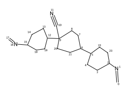 C=NC1CCC(C2CCC(C#N)(C3CCC(N=C)CC3)CC2)CC1